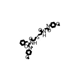 COc1ccc(N(C)C(=O)CNC(=O)CCSCCC(=O)N[C@@H](Cc2ccccc2)C(=O)N(C)c2ccc(OC)cc2)cc1